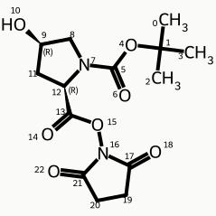 CC(C)(C)OC(=O)N1C[C@H](O)C[C@@H]1C(=O)ON1C(=O)CCC1=O